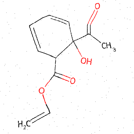 C=COC(=O)C1C=CC=CC1(O)C(C)=O